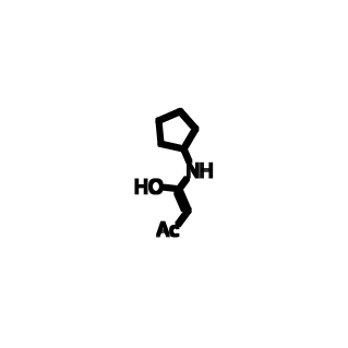 CC(=O)/C=C(\O)NC1CCCC1